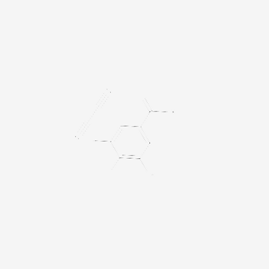 N#CC#N.O=C(O)c1cc(O)c(O)c(O)c1